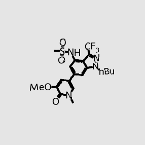 CCCCn1nc(C(F)(F)F)c2c(NS(C)(=O)=O)cc(-c3cc(OC)c(=O)n(C)c3)cc21